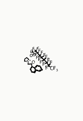 O=C(C[S+]1CCCC1)c1cccc2ccccc12.O=S(=O)([O-])C(F)(F)C(F)(F)C(F)(F)C(F)(F)C(F)(F)C(F)(F)C(F)(F)C(F)(F)F